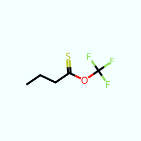 CCCC(=S)OC(F)(F)F